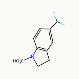 O=C(O)N1CCc2cc(C(F)F)ccc21